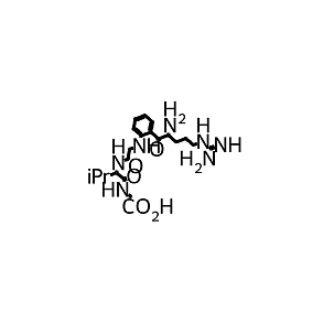 CC(C)C(NC(=O)CNc1ccccc1C(=O)C(N)CCCNC(=N)N)C(=O)NCC(=O)O